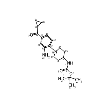 CC(C)(C)OC(=O)NC1CCN(c2ccc(C(=O)C3CC3)cc2N)CC1